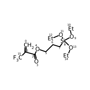 C=C(C(=O)OCCC[Si](OCC)(OCC)OCC)C(F)(F)F